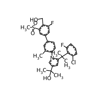 Cc1cc(-c2cc(F)c(CO)c(S(C)(=O)=O)c2)ccc1-n1cc(C(C)(C)O)cc1C(C)(C)c1c(F)cccc1Cl